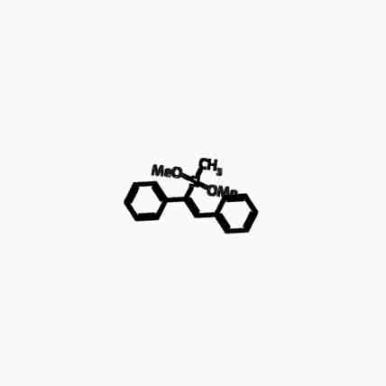 CO[Si](C)(OC)C(=Cc1ccccc1)c1ccccc1